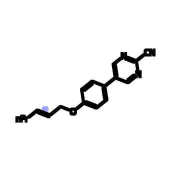 CCC/C=C/COc1ccc(-c2cnc(C#N)nc2)cc1